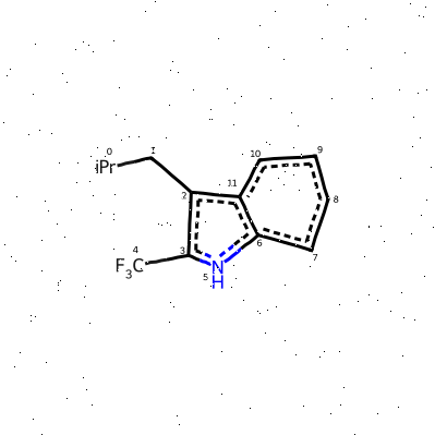 CC(C)Cc1c(C(F)(F)F)[nH]c2ccccc12